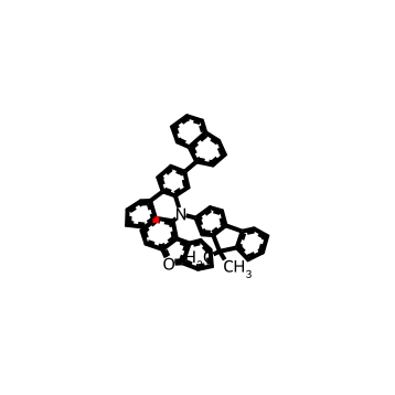 CC1(C)c2ccccc2-c2ccc(N(c3cc(-c4cccc5ccccc45)ccc3-c3ccccc3)c3cccc4oc5ccccc5c34)cc21